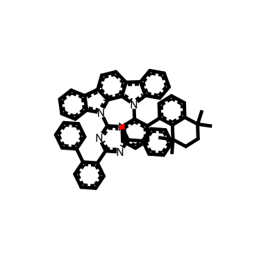 CC1(C)CCC(C)(C)c2c(-c3ccccc3-n3c4ccccc4c4ccc5c6ccccc6n(-c6nc(-c7ccccc7)nc(-c7ccccc7-c7ccccc7)n6)c5c43)cccc21